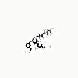 C=C(C)c1cccc(CCCN(CC2=NC(C(=O)NS(=O)(=O)N(C)C)C(C)S2)C(=O)C2(c3ccc(OC)cn3)CC2)c1